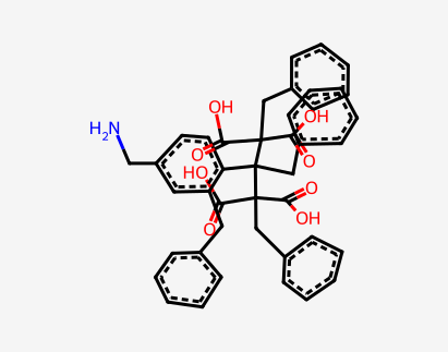 NCc1ccc(C(Cc2ccccc2)(C(Cc2ccccc2)(C(=O)O)C(=O)O)C(Cc2ccccc2)(C(=O)O)C(=O)O)c(Cc2ccccc2)c1